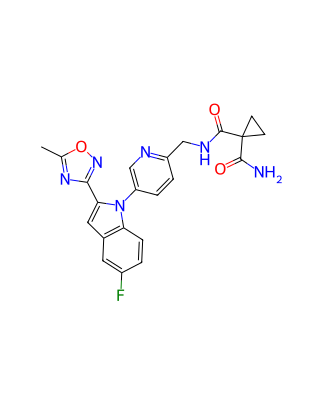 Cc1nc(-c2cc3cc(F)ccc3n2-c2ccc(CNC(=O)C3(C(N)=O)CC3)nc2)no1